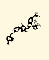 CC1(C)COCC1n1c(Cc2cc(F)c(-c3ccnc(OCc4ccc(C#N)cc4)n3)cc2F)nc2ccc(C(=O)O)cc21